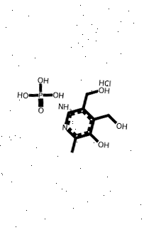 Cc1ncc(CO)c(CO)c1O.Cl.N.O=P(O)(O)O